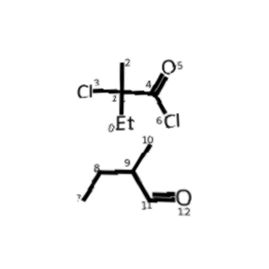 CCC(C)(Cl)C(=O)Cl.CCC(C)C=O